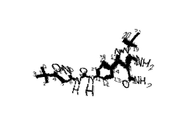 CC(C)(C)c1cc(NC(=O)Nc2ccc(-c3nn(C(C)(C)C)c(N)c3C(N)=O)cc2)no1